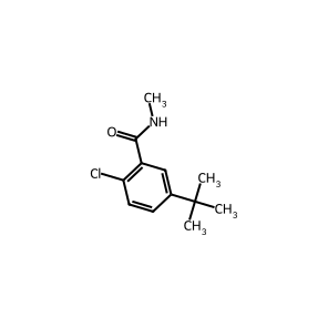 CNC(=O)c1cc(C(C)(C)C)ccc1Cl